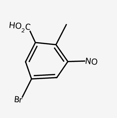 Cc1c(N=O)cc(Br)cc1C(=O)O